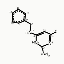 CC1=NC(N)NC(NCc2ccccc2)=C1